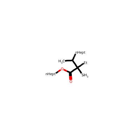 CCCCCCCOC(=O)C([SiH3])(CC)C(C)CCCCCCC